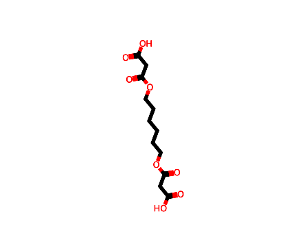 O=C(O)CC(=O)OCCCCCCOC(=O)CC(=O)O